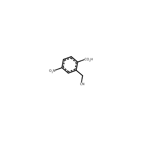 N#CCc1cc([N+](=O)[O-])ccc1C(=O)O